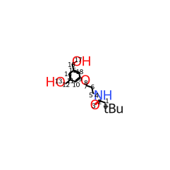 CC(C)(C)CC(=O)NCCCOc1cc(CO)cc(CO)c1